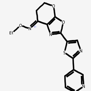 CCO/N=C1\CCOc2oc(-c3cnc(-c4cccnc4)s3)nc21